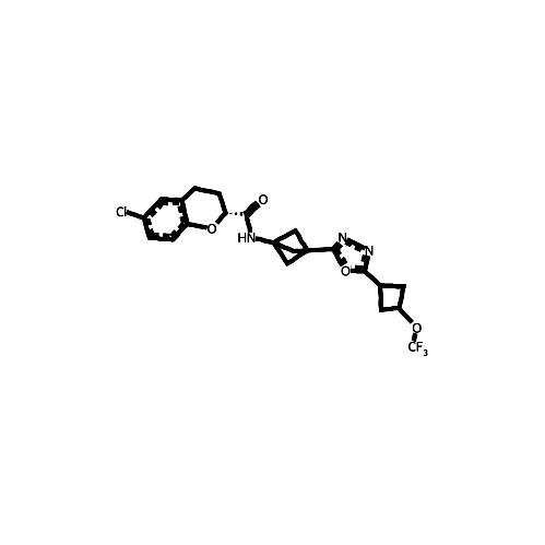 O=C(NC12CC(c3nnc(C4CC(OC(F)(F)F)C4)o3)(C1)C2)[C@H]1CCc2cc(Cl)ccc2O1